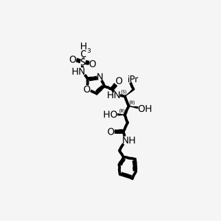 CC(C)C[C@H](NC(=O)c1coc(NS(C)(=O)=O)n1)[C@@H](O)[C@H](O)CC(=O)NCc1ccccc1